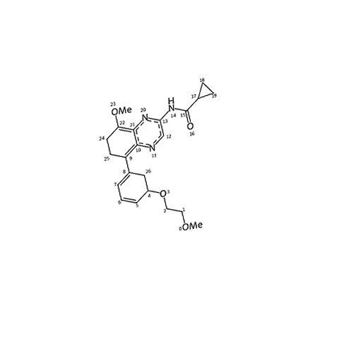 COCCOC1C=CC=C(C2=c3ncc(NC(=O)C4CC4)nc3=C(OC)CC2)C1